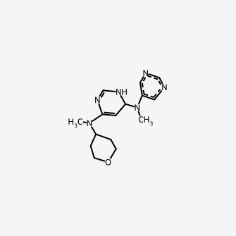 CN(C1=CC(N(C)c2cncnc2)NC=N1)C1CCOCC1